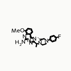 COc1cccc2c1nc(N)n1nc(C(C)N3CCN(c4ccc(F)cc4)C[C@H]3C)nc21